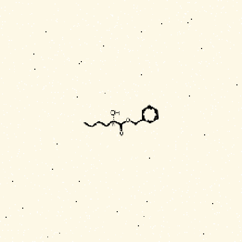 CCCC[C@H](O)C(=O)OCc1ccccc1